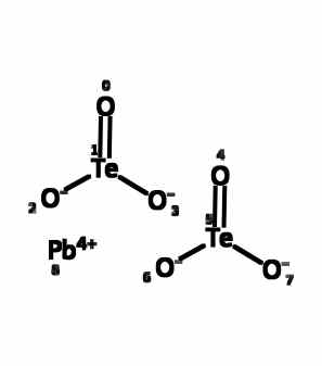 O=[Te]([O-])[O-].O=[Te]([O-])[O-].[Pb+4]